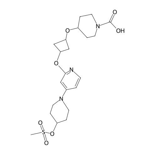 CS(=O)(=O)OC1CCN(c2ccnc(OC3CC(OC4CCN(C(=O)O)CC4)C3)c2)CC1